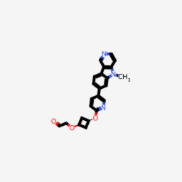 Cn1c2ccncc2c2ccc(-c3ccc(O[C@H]4C[C@H](OCC=O)C4)nc3)cc21